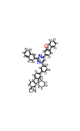 N#Cc1ccc2c(c1)C1(CCCCC1)c1cc(-c3cccc(-c4cc(-c5ccc6c(c5)oc5ccccc56)nc(-c5ccc6ccccc6c5)n4)c3)ccc1-2